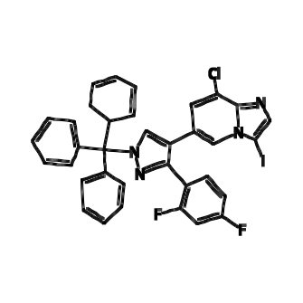 Fc1ccc(-c2nn(C(c3ccccc3)(c3ccccc3)C3C=CC=CC3)cc2-c2cc(Cl)c3ncc(I)n3c2)c(F)c1